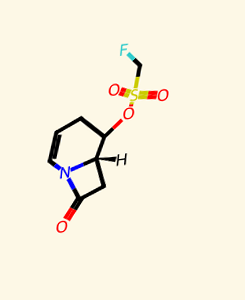 O=C1C[C@H]2C(OS(=O)(=O)CF)CC=CN12